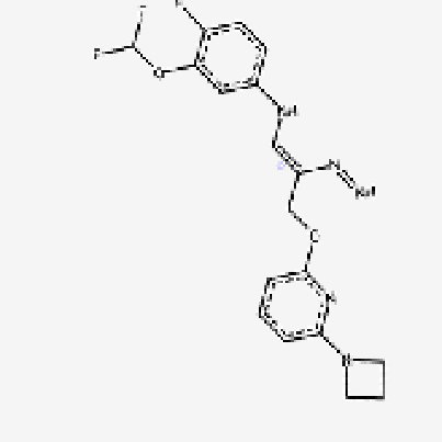 N=N/C(=C\Nc1ccc(F)c(OC(F)F)c1)COc1cccc(N2CCC2)n1